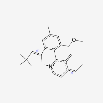 C=c1c(-c2c(COC)cc(C)cc2/C(C)=C/C(C)(C)C)[n+](C)cc/c1=C/C